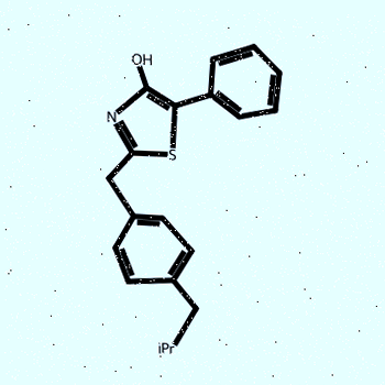 CC(C)Cc1ccc(Cc2nc(O)c(-c3ccccc3)s2)cc1